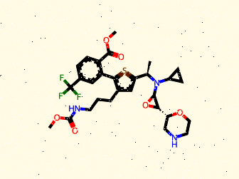 COC(=O)NCCCc1cc([C@@H](C)N(C2CC2)C2OC2[C@H]2CNCCO2)sc1-c1cc(C(F)(F)F)ccc1C(=O)OC